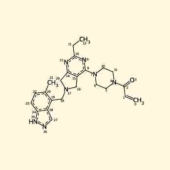 C=CC(=O)N1CCN(c2nc(CC)nc3c2CN(Cc2c(C)ccc4[nH]ncc24)C3)CC1